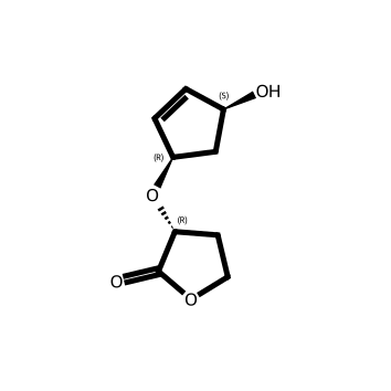 O=C1OCC[C@H]1O[C@H]1C=C[C@@H](O)C1